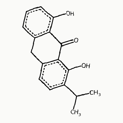 CC(C)c1ccc2c(c1O)C(=O)c1c(O)cccc1C2